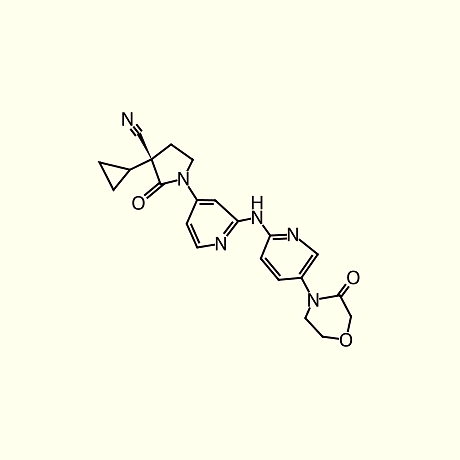 N#C[C@@]1(C2CC2)CCN(c2ccnc(Nc3ccc(N4CCOCC4=O)cn3)c2)C1=O